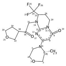 C[C@@H]1COCCN1c1cc(=O)n2c(n1)N(CC(=O)C1CCOC1)C(C(F)(F)F)CC2